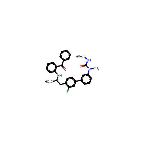 CCCCCCCNC(=O)N(C)c1cccc(-c2ccc(CC(Nc3ccccc3C(=O)c3ccccc3)C(=O)O)c(F)c2)c1